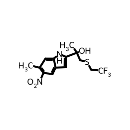 Cc1cc2[nH]c(C(C)(O)CSCC(F)(F)F)cc2cc1[N+](=O)[O-]